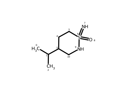 CC(C)C1CCS(=N)(=O)NC1